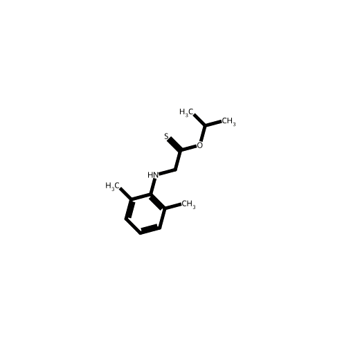 Cc1cccc(C)c1NCC(=S)OC(C)C